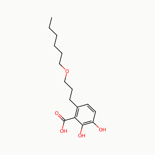 CCCCCCOCCCc1ccc(O)c(O)c1C(=O)O